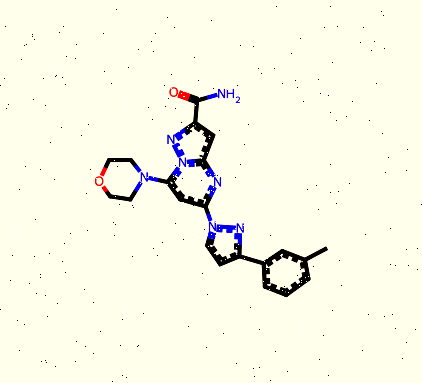 Cc1cccc(-c2ccn(-c3cc(N4CCOCC4)n4nc(C(N)=O)cc4n3)n2)c1